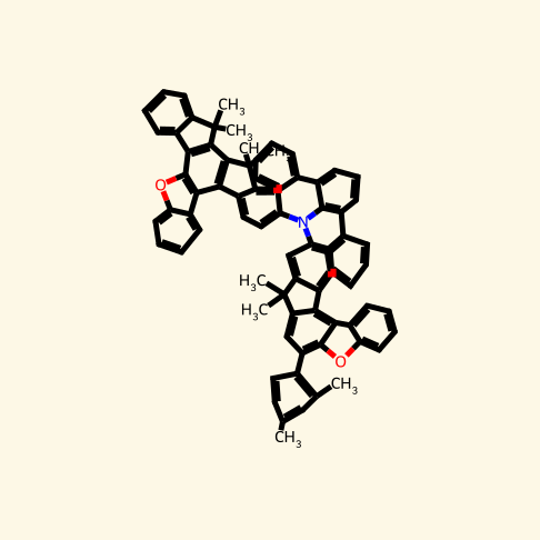 Cc1ccc(-c2cc3c(c4c2oc2ccccc24)-c2ccc(N(c4ccc5c(c4)C(C)(C)c4c6c(c7oc8ccccc8c7c4-5)-c4ccccc4C6(C)C)c4c(-c5ccccc5)cccc4-c4ccccc4)cc2C3(C)C)c(C)c1